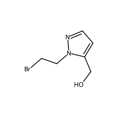 OCc1ccnn1CCBr